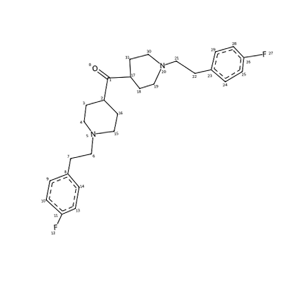 O=C(C1CCN(CCc2ccc(F)cc2)CC1)C1CCN(CCc2ccc(F)cc2)CC1